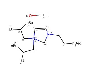 CCCCCCCCCCCCN1C=C[N+](CC(CC)CCCC)(CC(CC)CCCC)C1.O=C[O-]